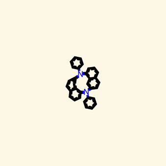 c1ccc(-n2c3ccc4cccc(c4c3)n(-c3ccccc3)c3ccc4cccc2c4c3)cc1